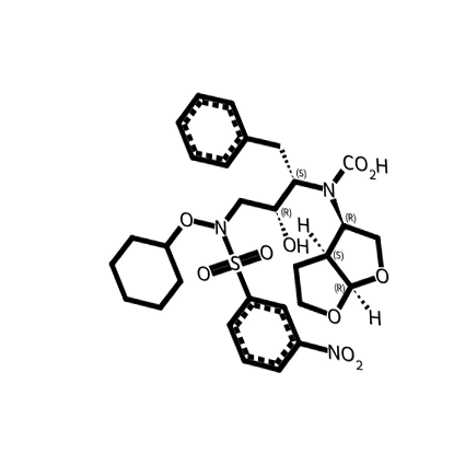 O=C(O)N([C@H]1CO[C@H]2OCC[C@H]21)[C@@H](Cc1ccccc1)[C@H](O)CN(OC1CCCCC1)S(=O)(=O)c1cccc([N+](=O)[O-])c1